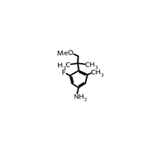 COCC(C)(C)c1c(C)cc(N)cc1F